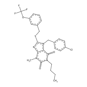 CCCCn1c(=O)c2c(nc(SCc3cccc(OC(F)(F)F)c3)n2Cc2ccc(Cl)cc2)n(C)c1=O